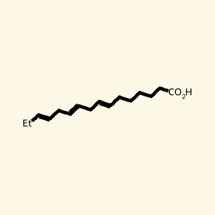 CC/C=C/C/C=C/C/C=C/CCCCCC(=O)O